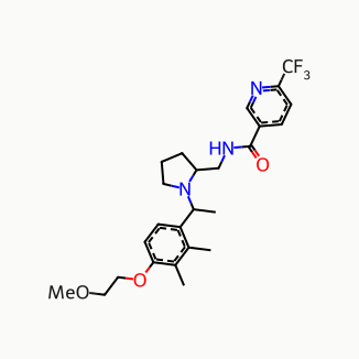 COCCOc1ccc(C(C)N2CCCC2CNC(=O)c2ccc(C(F)(F)F)nc2)c(C)c1C